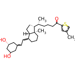 Cc1csc(C(=O)CCC[C@@H](C)[C@H]2CC[C@H]3/C(=C/C=C4C[C@@H](O)C[C@H](O)C4)CCC[C@]23C)c1